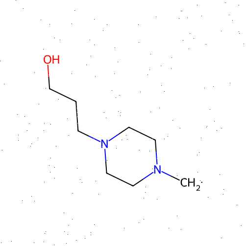 [CH2]N1CCN(CCCO)CC1